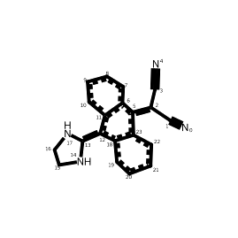 N#CC(C#N)=c1c2ccccc2c(=C2NCCN2)c2ccccc12